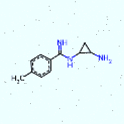 Cc1ccc(C(=N)NC2CC2N)cc1